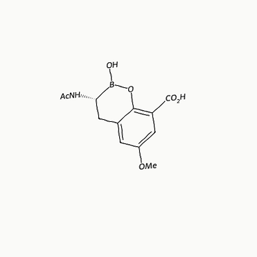 COc1cc2c(c(C(=O)O)c1)OB(O)[C@@H](NC(C)=O)C2